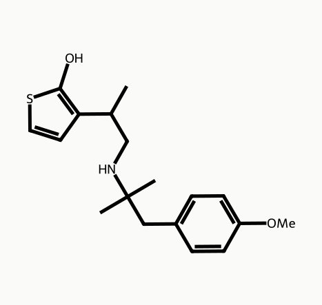 COc1ccc(CC(C)(C)NCC(C)c2ccsc2O)cc1